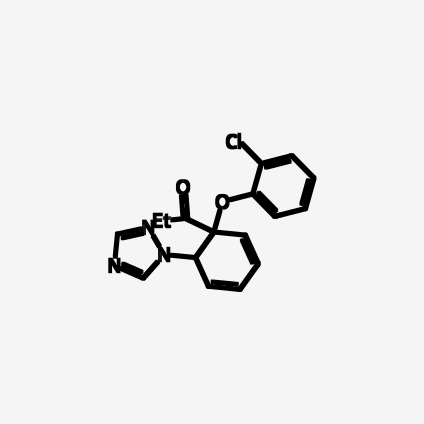 CCC(=O)C1(Oc2ccccc2Cl)C=CC=CC1n1cncn1